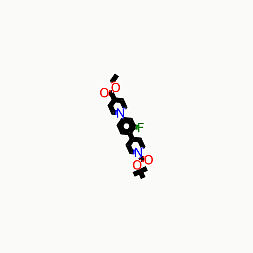 CCOC(=O)C1CCN(c2ccc(C3CCN(C(=O)OC(C)(C)C)CC3)c(F)c2)CC1